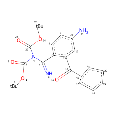 CC(C)(C)OC(=O)N(C(=N)c1ccc(N)cc1C(=O)c1ccccc1)C(=O)OC(C)(C)C